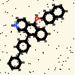 c1ccc(-c2ccc(-c3c4ccccc4c(Oc4ccc5ccccc5c4)c4ccncc34)cc2)cc1